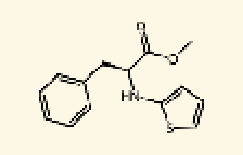 COC(=O)[C@H](Cc1ccccc1)Nc1cccs1